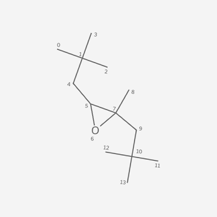 CC(C)(C)CC1OC1(C)CC(C)(C)C